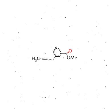 CC#CCc1cccc(C(=O)OC)c1